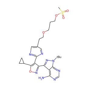 CC(C)(C)n1nc(-c2noc(C3CC3)c2-c2ncc(CCOCCCOS(C)(=O)=O)cn2)c2c(N)ncnc21